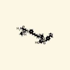 Cc1ncsc1-c1ccc(CNC(=O)[C@@H]2C[C@@H](O)CN2C(=O)[C@@H](NC(=O)CCCCCc2cccc(OC[C@H](CCC(N)=O)NC(=O)OC(C)(C)C)c2)C(C)(C)C)cc1